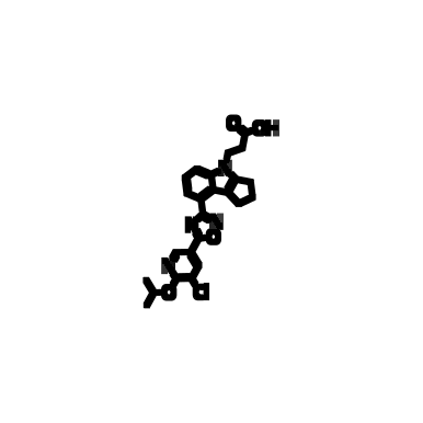 CC(C)Oc1ncc(-c2nc(-c3cccc4c3c3c(n4CCC(=O)O)CCC3)no2)cc1Cl